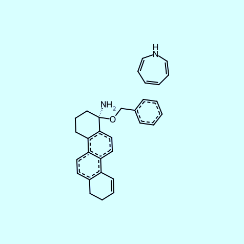 C1=CC=CNC=C1.N[C@@]1(OCc2ccccc2)CCCc2c1ccc1c3c(ccc21)CCC=C3